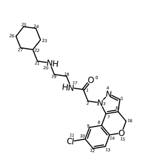 O=C(Cn1ncc2c1-c1cc(Cl)ccc1OC2)NCCNCC1CCCCC1